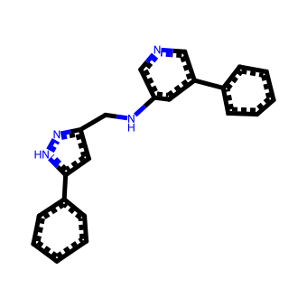 c1ccc(-c2cncc(NCc3cc(-c4ccccc4)[nH]n3)c2)cc1